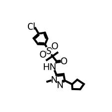 Cn1nc(C2CCCC2)cc1NC(=O)C(C)(C)S(=O)(=O)c1ccc(Cl)cc1